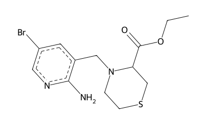 CCOC(=O)C1CSCCN1Cc1cc(Br)cnc1N